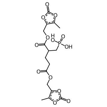 Cc1oc(=O)oc1COC(=O)CCC(CP(=O)(O)O)C(=O)OCc1oc(=O)oc1C